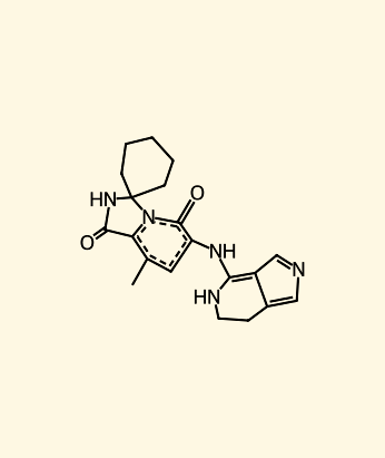 Cc1cc(NC2=C3C=NC=C3CCN2)c(=O)n2c1C(=O)NC21CCCCC1